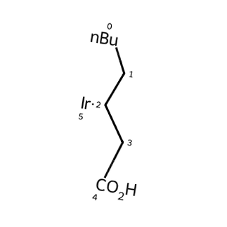 CCCCCCCC(=O)O.[Ir]